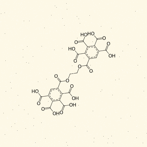 O=C(O)c1cc(C(=O)OCCOC(=O)c2cc(C(=O)O)c(C(=O)O)c(C(=O)O)c2C(=O)O)c(C(=O)O)c(C(=O)O)c1C(=O)O